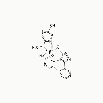 Cc1cnc(C(C)C(C)S(=O)(=O)Nc2nnc(-c3ccccc3)n2-c2c(F)cccc2F)cn1